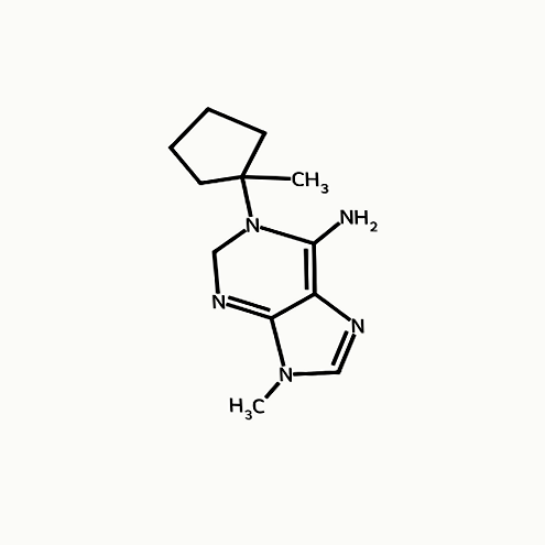 Cn1cnc2c1=NCN(C1(C)CCCC1)C=2N